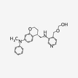 CN(c1ccccc1)c1ccc2c(c1)OCC[C@H]2CNc1cnccc1COCO